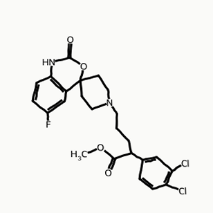 COC(=O)C(CCCN1CCC2(CC1)OC(=O)Nc1ccc(F)cc12)c1ccc(Cl)c(Cl)c1